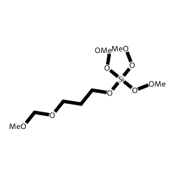 COCOCCCO[Si](OOC)(OOC)OOC